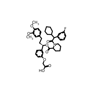 COc1ccc(CC[C@@H](OC(=O)C2CCCCN2C(=O)C(c2cccc(F)c2)C2CCCCC2)c2cccc(OCC(=O)O)c2)cc1OC